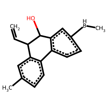 C=CC1c2cc(C)ccc2-c2ccc(BC)cc2C1O